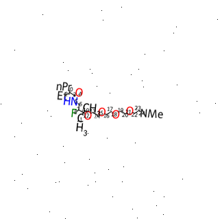 CCCC(CC)C(=O)NCC(F)C(C)(C)OCCOCCOCCOCCNC